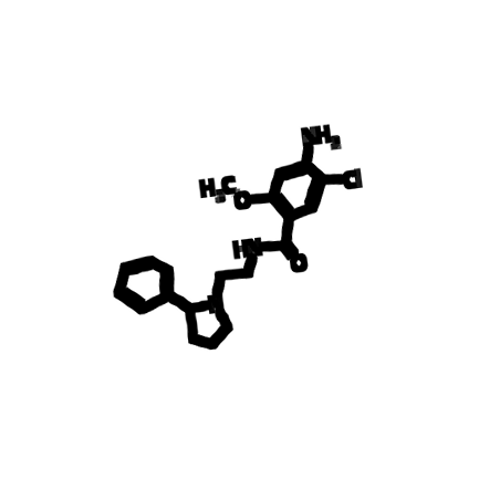 COc1cc(N)c(Cl)cc1C(=O)NCCN1CCCC1c1ccccc1